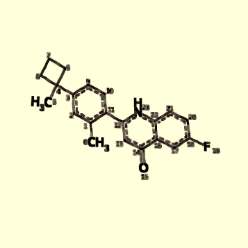 Cc1cc(C2(C)CCC2)ccc1-c1cc(=O)c2cc(F)ccc2[nH]1